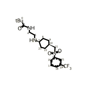 CC(C)(C)C(=O)NCCN[C@H]1CC[C@@H](CS(=O)(=O)c2cccc(C(F)(F)F)c2)CC1